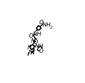 CCn1ncc2c(NC3CCOCC3)c(-c3nc(C(=O)NCc4ccc(C(N)=O)cc4)co3)cnc21